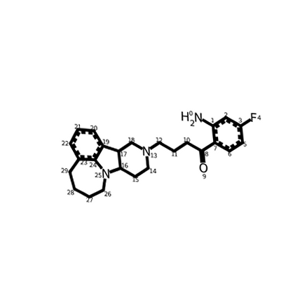 Nc1cc(F)ccc1C(=O)CCCN1CCC2C(C1)c1cccc3c1N2CCCC3